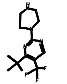 CC(C)(C)c1nc(N2CCNCC2)ncc1C(F)(F)F